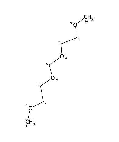 COCCO[CH]OCCOC